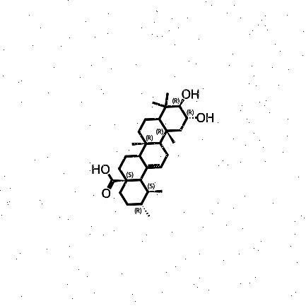 C[C@@H]1CC[C@]2(C(=O)O)CCC3C(=CCC4[C@@]3(C)CCC3C(C)(C)[C@@H](O)[C@H](O)C[C@@]34C)C2[C@H]1C